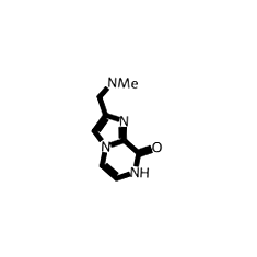 CNCc1cn2cc[nH]c(=O)c2n1